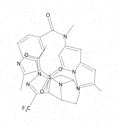 Cc1cc2cc(N(C)C(=O)c3cccc(-n4nc(C(F)(F)F)c5c4CC4CCC5N4S(=O)(=O)c4c(C)noc4C)c3)ccn2n1